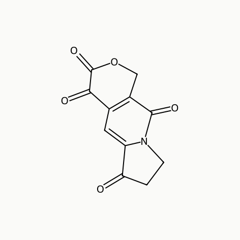 O=C1OCc2c(cc3n(c2=O)CCC3=O)C1=O